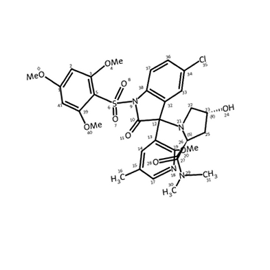 COc1cc(OC)c(S(=O)(=O)N2C(=O)C(c3cc(C)cnc3OC)(N3C[C@H](O)C[C@H]3C(=O)N(C)C)c3cc(Cl)ccc32)c(OC)c1